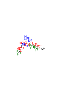 NCC(=O)O.NCC(=O)O.NCC(=O)O.O=C([O-])C(F)(F)F.O=C([O-])C(F)(F)F.O=C([O-])C(F)(F)F.[Co+3]